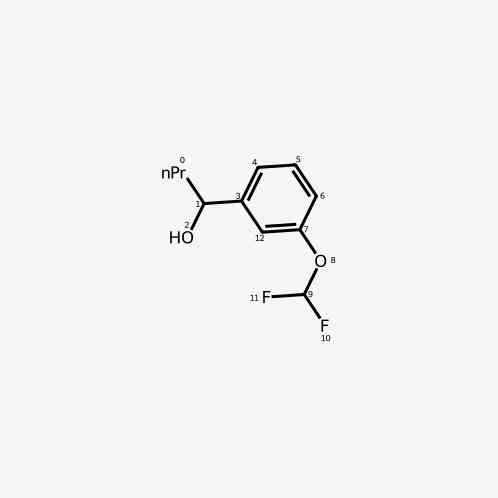 CCCC(O)c1cccc(OC(F)F)c1